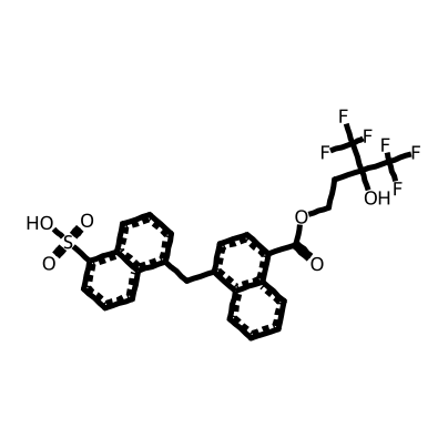 O=C(OCCC(O)(C(F)(F)F)C(F)(F)F)c1ccc(Cc2cccc3c(S(=O)(=O)O)cccc23)c2ccccc12